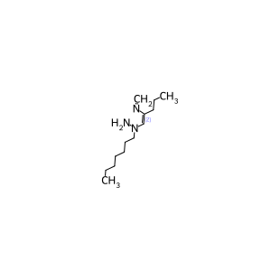 C=N/C(=C\N(N)CCCCCCC)CCC